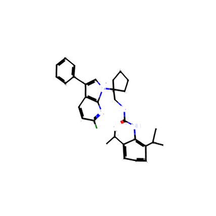 CC(C)c1cccc(C(C)C)c1NC(=O)NCC1(n2cc(-c3ccccc3)c3ccc(Cl)nc32)CCCC1